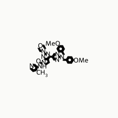 COc1ccc(CN(Cc2ccc(OC)cc2)c2ncc(-c3nc(N4CCOCC4)nc4c3CCN4C(=O)Nc3cnccc3C)cn2)cc1